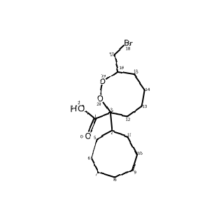 O=C(O)C1(C2CCCCCCC2)CCCCC(CBr)OO1